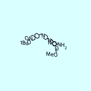 COCCOc1cc2nn(C3CCN(CC4CCC5(CC4)CCN(C(=O)OC(C)(C)C)CC5)CC3)cc2cc1N